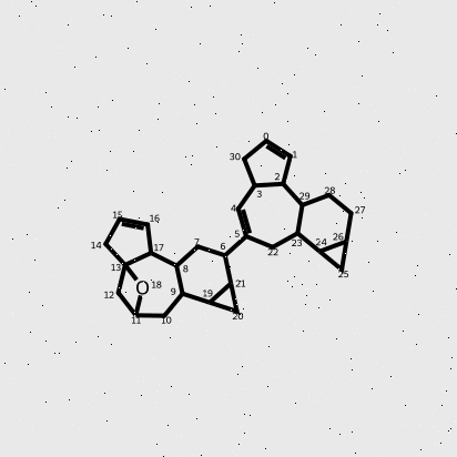 C1=CC2C(C=C(C3CC4C(CC5CC6(CC=CC46)O5)C4CC34)CC3C4CC4CCC23)C1